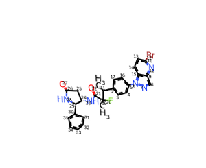 CC(c1ccc(-n2ncc3nc(Br)ccc32)cc1)C(C)(F)C(=O)N[C@H]1CC(=O)N[C@@H]1c1ccccc1